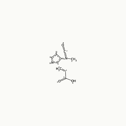 C=CC(=O)O.CN=C=O.c1cscn1